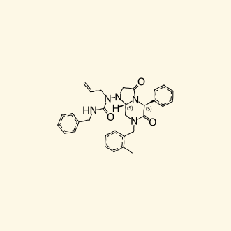 C=CCN(C(=O)NCc1ccccc1)N1CC(=O)N2[C@@H](c3ccccc3)C(=O)N(Cc3ccccc3C)C[C@@H]21